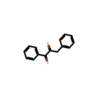 S=C(Cc1ccccc1)C(=S)c1ccccc1